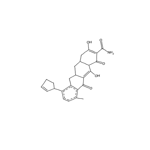 Cc1ccc(C2C=CCC2)c2c1C(=O)C1=C(O)C3C(=O)C(C(N)=O)=C(O)CC3CC1C2